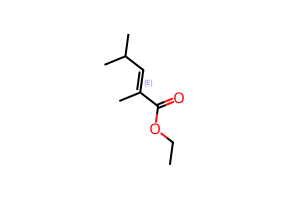 CCOC(=O)/C(C)=C/C(C)C